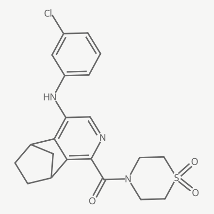 O=C(c1ncc(Nc2cccc(Cl)c2)c2c1C1CCC2C1)N1CCS(=O)(=O)CC1